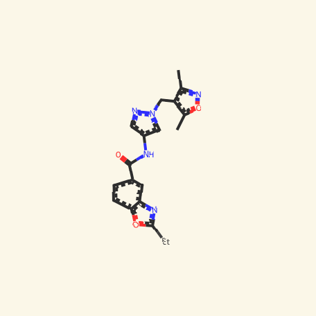 CCc1nc2cc(C(=O)Nc3cnn(Cc4c(C)noc4C)c3)ccc2o1